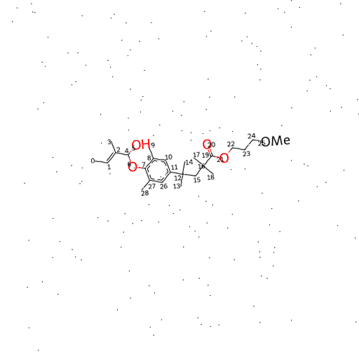 CC=C(C)C(O)Oc1c(C)cc(C(C)(C)CC(C)(C)C(=O)OCCCOC)cc1C